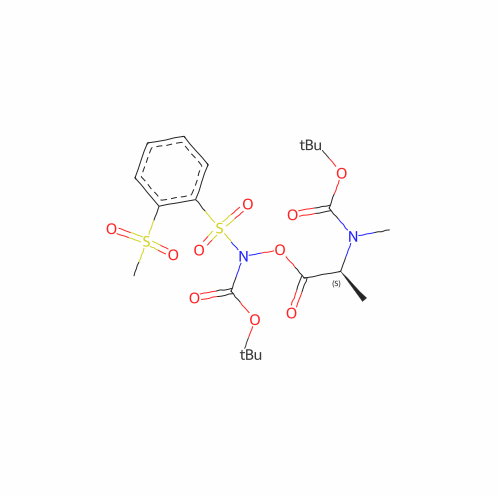 C[C@@H](C(=O)ON(C(=O)OC(C)(C)C)S(=O)(=O)c1ccccc1S(C)(=O)=O)N(C)C(=O)OC(C)(C)C